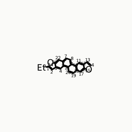 CCc1cc2cc3c(ccc4c5cc6ccoc6cc5ccc34)cc2o1